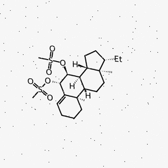 CC[C@H]1CC[C@H]2[C@@H]3[C@H](OS(C)(=O)=O)[C@@H](OS(C)(=O)=O)C4=CCCC[C@]4(C)[C@H]3CC[C@]12C